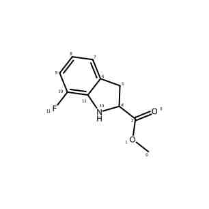 COC(=O)C1Cc2cccc(F)c2N1